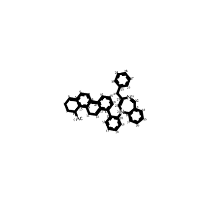 CC(=O)C1CCC=c2ccc3c(c21)CC=c1c(-c2ccccc2N2C=C(Cc4ccccc4)N=Cc4ccccc42)cccc1=3